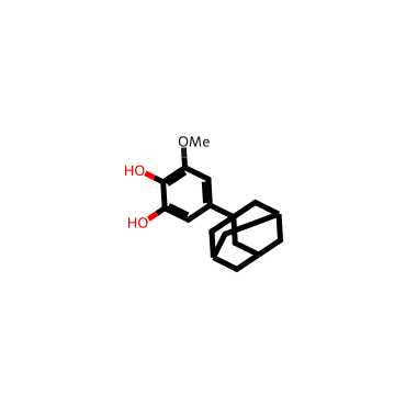 COc1cc(C23CC4CC(CC(C4)C2)C3)cc(O)c1O